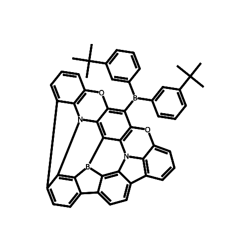 CC(C)(C)c1cccc(B(c2cccc(C(C)(C)C)c2)c2c3oc4cccc5c6ccc7c8c6n(c3c3c6c2oc2cccc9c%10ccc-7c(c%10n6c29)B38)c45)c1